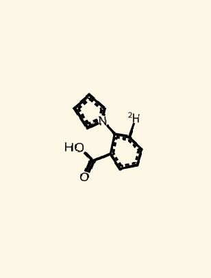 [2H]c1cccc(C(=O)O)c1-n1cccc1